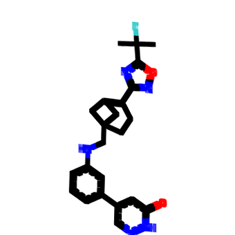 CC(C)(F)c1nc(C2=C3CC(CNc4cccc(-c5cn[nH]c(=O)c5)c4)(CC2)C3)no1